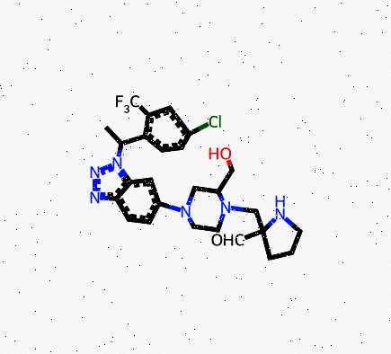 CC(c1ccc(Cl)cc1C(F)(F)F)n1nnc2ccc(N3CCN(CC4(C=O)CCCN4)C(CO)C3)cc21